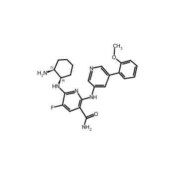 COc1ccccc1-c1cncc(Nc2nc(N[C@@H]3CCCC[C@@H]3N)c(F)cc2C(N)=O)c1